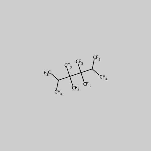 FC(F)(F)C(C(F)(F)F)C(C(F)(F)F)(C(F)(F)F)C(C(C(F)(F)F)C(F)(F)F)(C(F)(F)F)C(F)(F)F